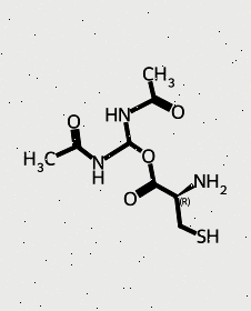 CC(=O)NC(NC(C)=O)OC(=O)[C@@H](N)CS